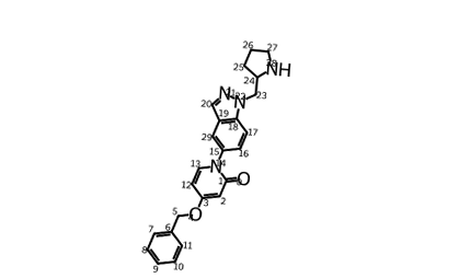 O=c1cc(OCc2ccccc2)ccn1-c1ccc2c(cnn2CC2CCCN2)c1